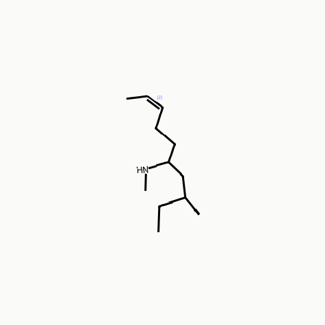 C/C=C\CCC(CC(C)CC)NC